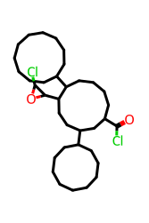 O=C(Cl)C1CCCCC(C2CCCCCCCCCC2)C(C2OC2Cl)CCC(C2CCCCCCCCC2)C1